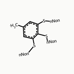 [CH2]c1cc(SCCCCCCCCC)c(SCCCCCCCCC)c(SCCCCCCCCC)c1